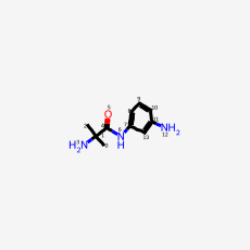 CC(C)(N)C(=O)Nc1cccc(N)c1